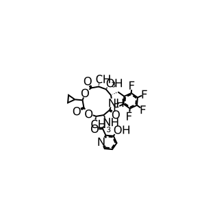 C[C@H]1OC(=O)C(C2CC2)OC(=O)[C@H](C)[C@H](O)[C@H](Cc2c(F)c(F)c(F)c(F)c2F)NC(=O)[C@H]1NC(=O)c1ncccc1O